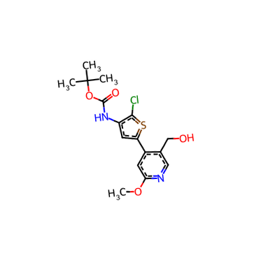 COc1cc(-c2cc(NC(=O)OC(C)(C)C)c(Cl)s2)c(CO)cn1